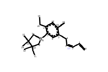 C=C/C=C\Cc1cc(B2CC(C)(C)C(C)(C)C2)c(CC)cc1C